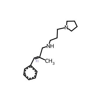 C/C(=C\c1ccccc1)CNCCCN1CCCC1